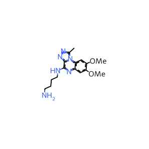 COc1cc2nc(NCCCCN)c3nnc(C)n3c2cc1OC